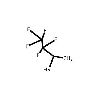 CC(S)C(F)(F)C(F)(F)F